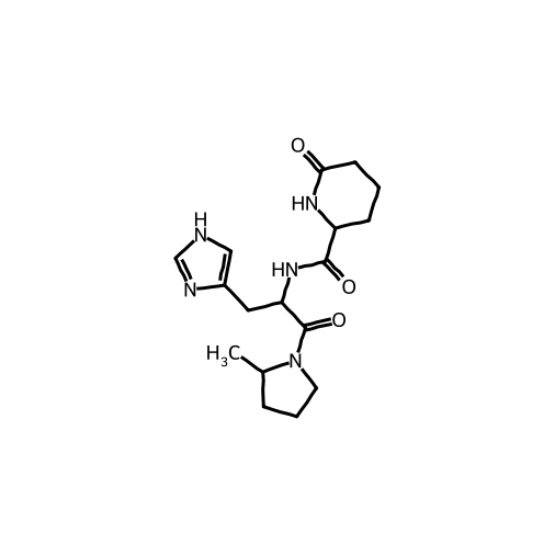 CC1CCCN1C(=O)C(Cc1c[nH]cn1)NC(=O)C1CCCC(=O)N1